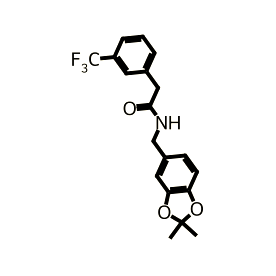 CC1(C)Oc2ccc(CNC(=O)Cc3cccc(C(F)(F)F)c3)cc2O1